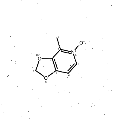 Cc1c2c(cc[n+]1[O-])OCO2